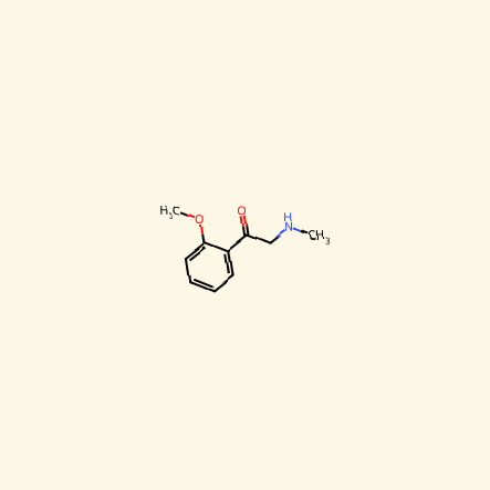 CNCC(=O)c1ccccc1OC